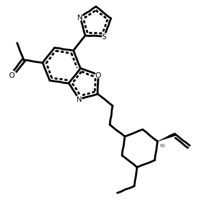 C=C[C@H]1CC(CC)CC(CCc2nc3cc(C(C)=O)cc(-c4nccs4)c3o2)C1